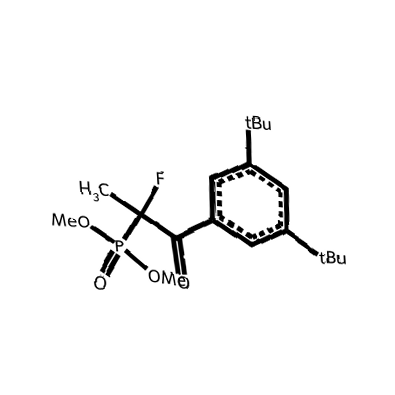 COP(=O)(OC)C(C)(F)C(=O)c1cc(C(C)(C)C)cc(C(C)(C)C)c1